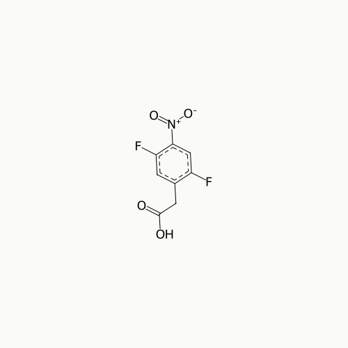 O=C(O)Cc1cc(F)c([N+](=O)[O-])cc1F